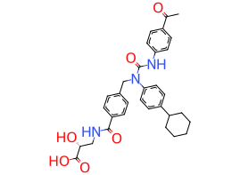 CC(=O)c1ccc(NC(=O)N(Cc2ccc(C(=O)NC[C@@H](O)C(=O)O)cc2)c2ccc(C3CCCCC3)cc2)cc1